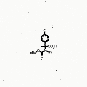 CCCCOC(=O)N(C(C)C)C(C)(C(=O)O)c1ccc(Cl)cc1